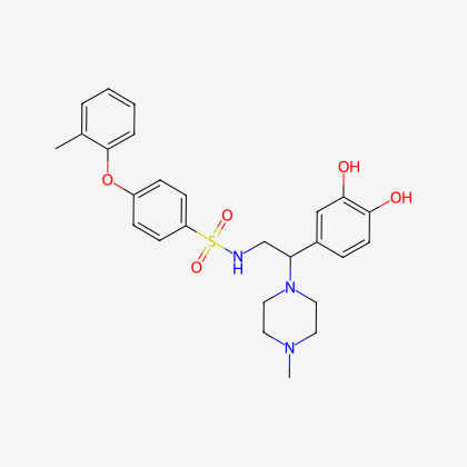 Cc1ccccc1Oc1ccc(S(=O)(=O)NCC(c2ccc(O)c(O)c2)N2CCN(C)CC2)cc1